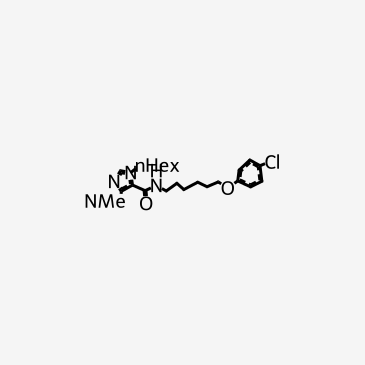 CCCCCCn1cnc(NC)c1C(=O)NCCCCCCOc1ccc(Cl)cc1